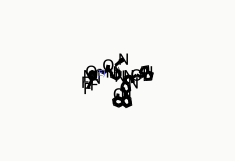 N#CC[C@H]1CN(c2nc(OCC34CCCN3CCC4)nc3c2CCN(c2cccc4cccc(Cl)c24)C3)CCN1C(=O)/C=C/c1nc(C(F)(F)F)no1